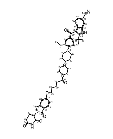 CCc1cc2c(cc1N1CCC(N3CCN(C(=O)CCCCOc4ccc5c(c4)CN(C4CCC(=O)NC4=O)C5=O)CC3)CC1)C(C)(C)c1[nH]c3cc(C#N)ccc3c1C2=O